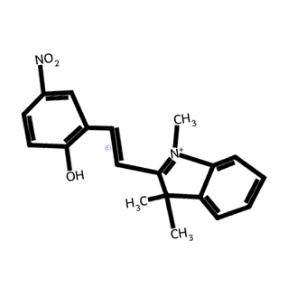 C[N+]1=C(/C=C/c2cc([N+](=O)[O-])ccc2O)C(C)(C)c2ccccc21